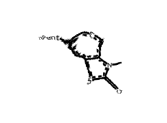 CCCCCc1ccc2c(c1)sc(=O)n2C